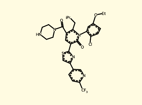 CCOc1ccc(Cl)c(-n2c(CC(C)C)c(C(=O)N3CCNCC3)cc(-c3nc(-c4ccc(C(F)(F)F)nc4)cs3)c2=O)c1